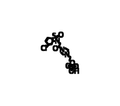 O=C(Cn1c(=O)sc2ccc(Cl)cc21)N1CCN(CCOS(=O)(=O)O)CC1